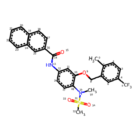 Cc1ccc(C(F)(F)F)cc1COc1cc(NC(=O)c2ccc3ccccc3c2)ccc1N(C)S(C)(=O)=O